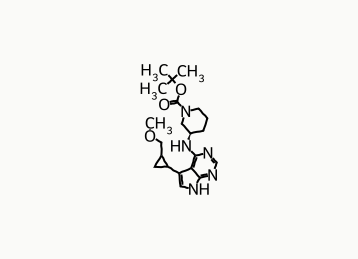 COCC1CC1c1c[nH]c2ncnc(N[C@@H]3CCCN(C(=O)OC(C)(C)C)C3)c12